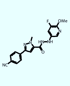 COc1ncc(NNC(=O)c2cc(-c3ccc(C#N)cc3)nn2C)cc1F